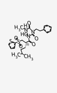 CNC(=O)N(CCc1ccccc1)C(=O)N(O)C(=O)[C@H](CCC(C)C)CS(=O)(=O)c1cccs1